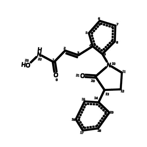 O=C(C=Cc1ccccc1N1CCC(c2ccccc2)C1=O)NO